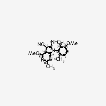 COc1ccc(C)c(-n2c(N)c(C#N)c3c(OC)nc(C)nc32)c1C